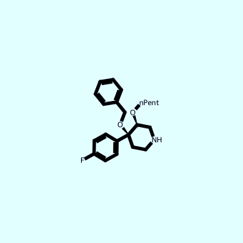 CCCCCO[C@H]1CNCC[C@]1(OCc1ccccc1)c1ccc(F)cc1